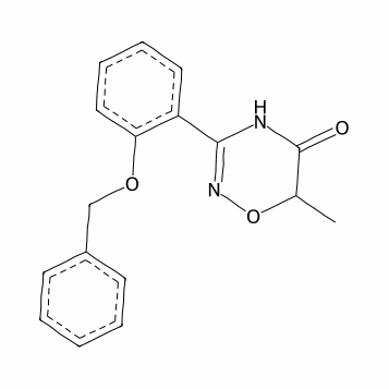 CC1ON=C(c2ccccc2OCc2ccccc2)NC1=O